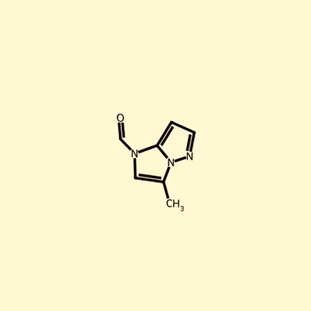 Cc1cn(C=O)c2ccnn12